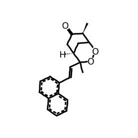 C[C@@H]1C(=O)C[C@H]2CC1OOC2(C)C=Cc1cccc2ccccc12